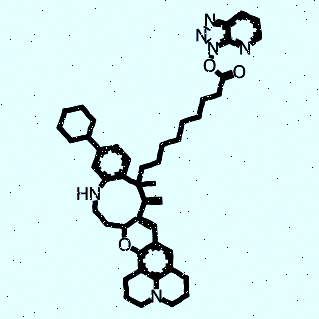 C=C1C2=Cc3cc4c5c(c3OC2CCNc2cc(C3CCCCC3)ccc2C1(C)CCCCCCCCC(=O)On1nnc2cccnc21)CCCN5CCC4